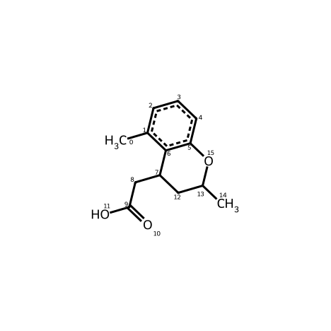 Cc1cccc2c1C(CC(=O)O)CC(C)O2